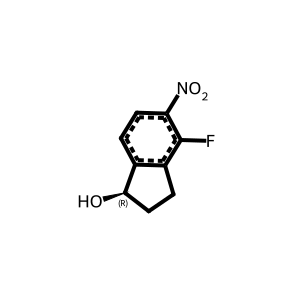 O=[N+]([O-])c1ccc2c(c1F)CC[C@H]2O